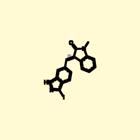 CN1C(=O)/C(=C/c2ccc3c(I)n[nH]c3c2)c2ccccc21